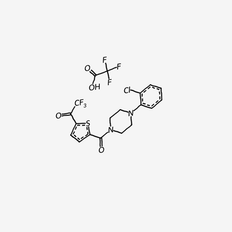 O=C(O)C(F)(F)F.O=C(c1ccc(C(=O)C(F)(F)F)s1)N1CCN(c2ccccc2Cl)CC1